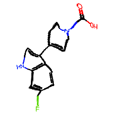 O=C(O)N1CC=C(c2c[nH]c3cc(F)ccc23)CC1